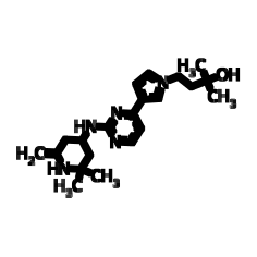 C=C1CC(Nc2nccc(-c3ccn(CCC(C)(C)O)c3)n2)CC(C)(C)N1